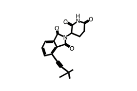 CC(C)(C)C#Cc1cccc2c1C(=O)N(C1CCC(=O)NC1=O)C2=O